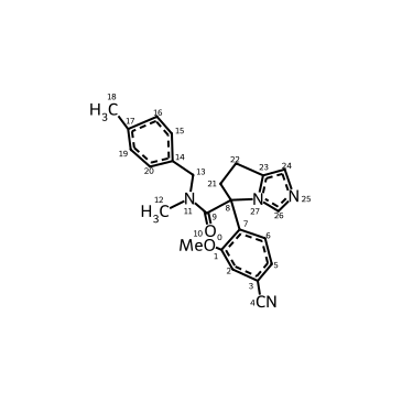 COc1cc(C#N)ccc1C1(C(=O)N(C)Cc2ccc(C)cc2)CCc2cncn21